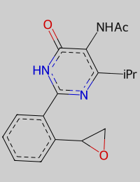 CC(=O)Nc1c(C(C)C)nc(-c2ccccc2C2CO2)[nH]c1=O